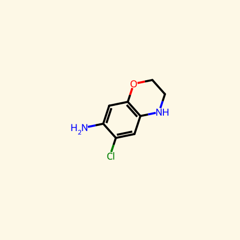 Nc1cc2c(cc1Cl)NCCO2